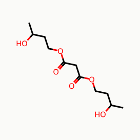 CC(O)CCOC(=O)CC(=O)OCCC(C)O